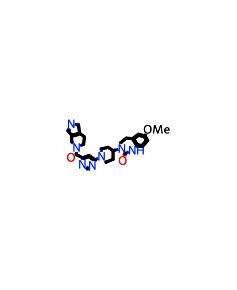 COc1ccc2c(c1)CCN(C1CCN(c3cc(C(=O)N4CCC5=C(C=NC5)C4)ncn3)CC1)C(=O)N2